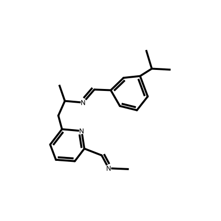 C/N=C/c1cccc(CC(C)/N=C/c2cccc(C(C)C)c2)n1